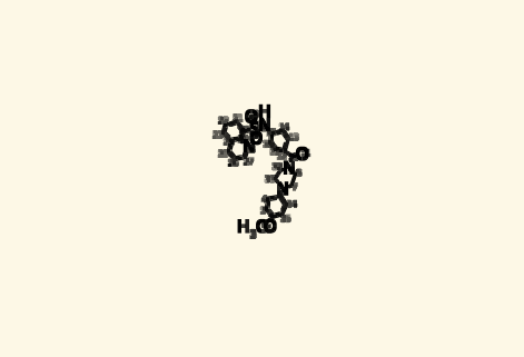 COc1ccc(N2CCN(C(=O)c3ccc(NS(=O)(=O)c4cccc5cccnc45)cc3)CC2)cc1